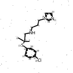 CC(C)(CNCCCn1ccnc1)Sc1ccc(Cl)cc1